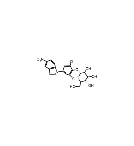 O=[N+]([O-])c1ccc2c(ccn2-c2cc(Cl)c(O[C@H]3OC(CO)[C@@H](O)[C@H](O)C3O)c(Cl)c2)c1